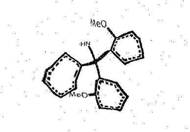 COc1ccccc1C([NH])(c1ccccc1)c1ccccc1OC